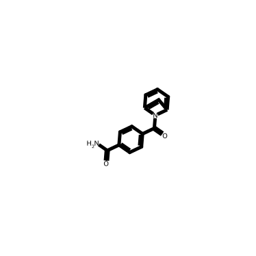 NC(=O)c1ccc(C(=O)N2C3=CC=CC2=C3)cc1